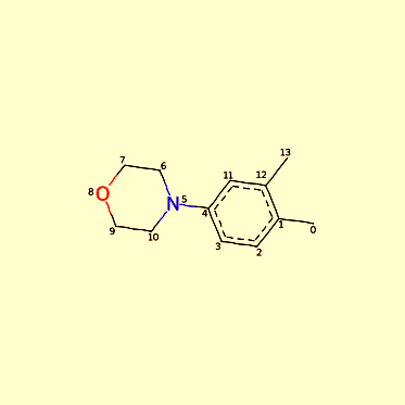 Cc1ccc(N2CCOCC2)cc1C